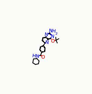 CC(C)(C)Oc1nc(N)nc2ccc(-c3ccc(C(=O)NC4CCCCC4)cc3)nc12